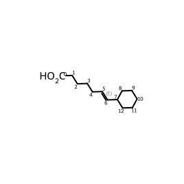 O=C(O)CCCC/C=C/C1CCCCC1